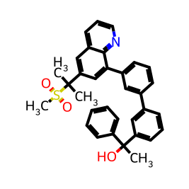 CC(O)(c1ccccc1)c1cccc(-c2cccc(-c3cc(C(C)(C)S(C)(=O)=O)cc4cccnc34)c2)c1